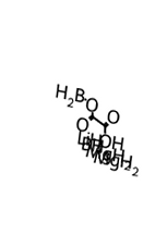 B.BOC(=O)C(=O)O.[LiH].[MgH2].[MgH2]